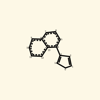 [CH]1C=CC(c2cccc3ccccc23)=C1